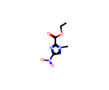 CCOC(=O)c1nc([N+](=O)[O-])cn1C